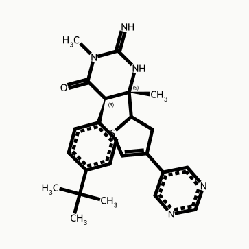 CN1C(=N)N[C@](C)(C2CC(c3cncnc3)=CS2)[C@@H](c2ccc(C(C)(C)C)cc2)C1=O